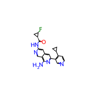 Nc1nc(-c2cnccc2C2CC2)cc2cc(NC(=O)[C@H]3C[C@H]3F)ncc12